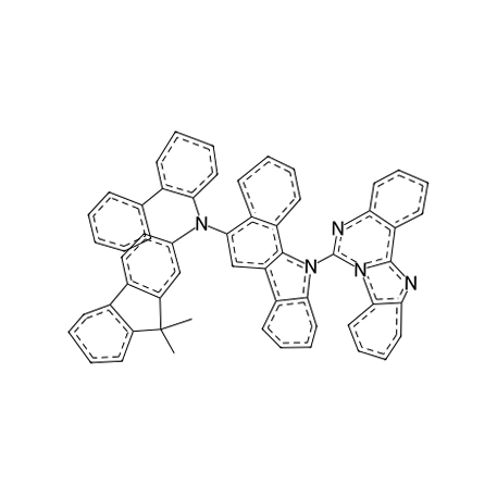 CC1(C)c2ccccc2-c2ccc(N(c3ccccc3-c3ccccc3)c3cc4c5ccccc5n(-c5nc6ccccc6c6nc7ccccc7n56)c4c4ccccc34)cc21